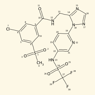 CS(=O)(=O)c1cc(Cl)cc(C(=O)NCc2ncnn2-c2ccc(NS(=O)(=O)C(F)(F)F)cn2)c1